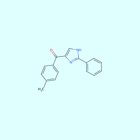 Cc1ccc(C(=O)c2c[nH]c(-c3ccccc3)n2)cc1